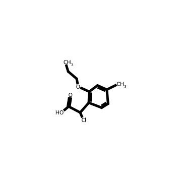 CCCOc1cc(C)ccc1C(Cl)C(=O)O